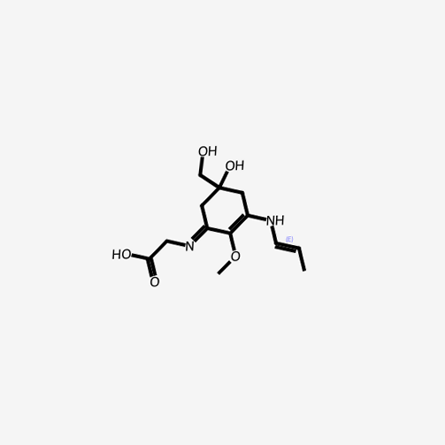 C/C=C/NC1=C(OC)C(=NCC(=O)O)CC(O)(CO)C1